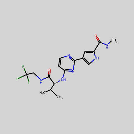 CNC(=O)c1cc(-c2nccc(N[C@@H](C(=O)NCC(F)(F)F)C(C)C)n2)c[nH]1